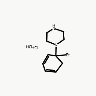 CCC1(N2CCNCC2)C=CC=CC1.Cl.Cl